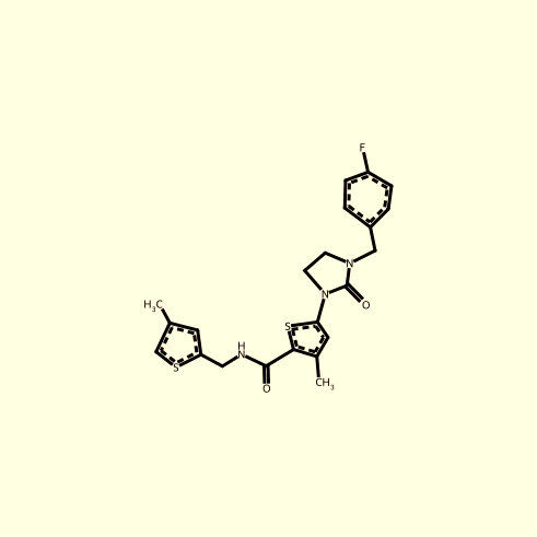 Cc1csc(CNC(=O)c2sc(N3CCN(Cc4ccc(F)cc4)C3=O)cc2C)c1